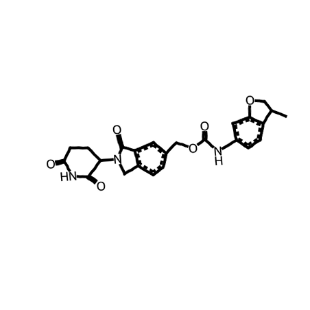 CC1COc2cc(NC(=O)OCc3ccc4c(c3)C(=O)N(C3CCC(=O)NC3=O)C4)ccc21